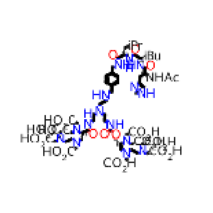 CCC(C)[C@H](NC(=O)[C@H](Cc1c[nH]cn1)NC(C)=O)C(=O)N[C@@H](CC(C)C)C(=O)NCc1ccc(CNCCN(CCNC(=O)OC[C@@H](CN(CCN(CC(=O)O)CC(=O)O)CC(=O)O)N(CC(=O)O)CC(=O)O)CCNC(=O)[C@@H](CN(CCN(CC(=O)O)CC(=O)O)CC(=O)O)N(CC(=O)O)CC(=O)O)cc1